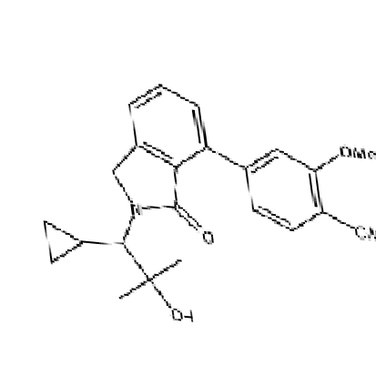 COc1ccc(-c2cccc3c2C(=O)N(C(C2CC2)C(C)(C)O)C3)cc1OC